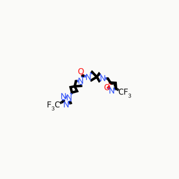 O=C(N1CC2(CC(n3cnc(C(F)(F)F)n3)C2)C1)N1CC2(CN(Cc3cc(C(F)(F)F)no3)C2)C1